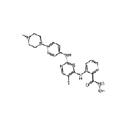 CN1CCN(c2ccc(Nc3ncc(F)c(Nc4ccccc4C(=O)NO)n3)cc2)CC1